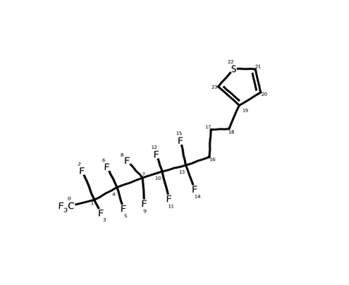 FC(F)(F)C(F)(F)C(F)(F)C(F)(F)C(F)(F)C(F)(F)CCCc1ccsc1